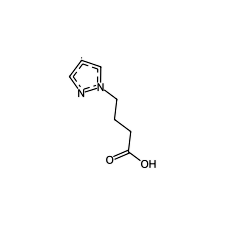 O=C(O)CCCn1c[c]cn1